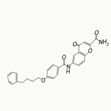 NC(=O)c1cc(=O)c2cc(NC(=O)c3ccc(OCCCCc4ccccc4)cc3)ccc2o1